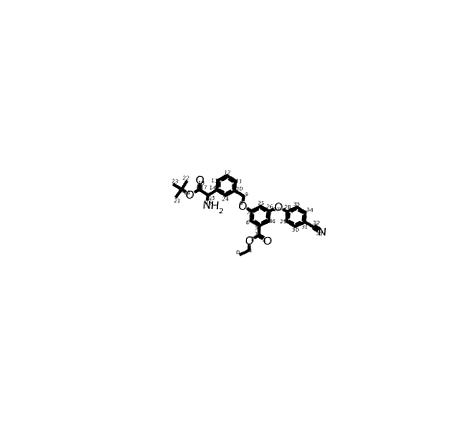 CCOC(=O)c1cc(OCc2cccc(C(N)C(=O)OC(C)(C)C)c2)cc(Oc2ccc(C#N)cc2)c1